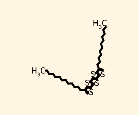 CCCCCCCCCCCCCc1csc2c1sc1c2sc2c3scc(CCCCCCCCCCCCC)c3sc21